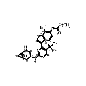 COC(=O)Nc1ccc2c(-c3nc(N[C@@H]4CN[C@H]5CC5C4)ncc3C(F)(F)F)c[nH]c2c1Br